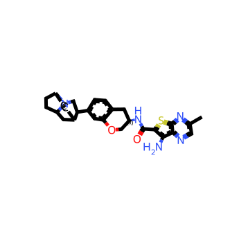 Cc1cnc2c(N)c(C(=O)N[C@H]3COc4cc(C5CN6C7CCC5CC6CC7)ccc4C3)sc2n1